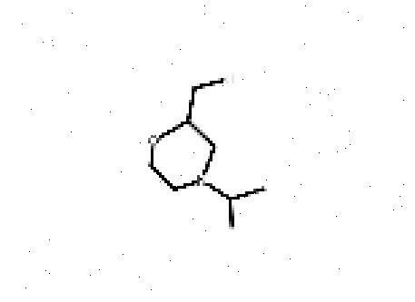 CC(C)N1CCOC(CCl)C1